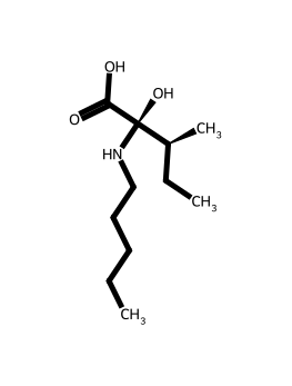 CCCCCN[C@](O)(C(=O)O)[C@@H](C)CC